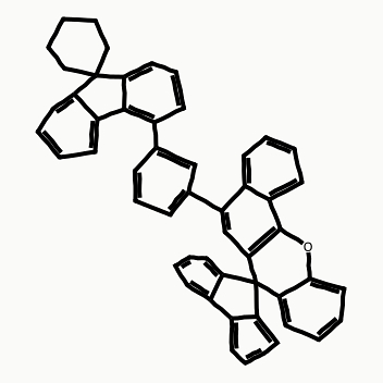 c1cc(-c2cccc3c2-c2ccccc2C32CCCCC2)cc(-c2cc3c(c4ccccc24)Oc2ccccc2C32c3ccccc3-c3ccccc32)c1